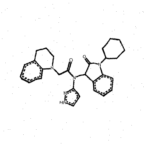 O=C1C(N(C(=O)CN2CCCc3ccccc32)c2cc[nH]n2)c2ccccc2N1C1CCCCC1